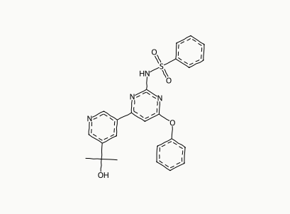 CC(C)(O)c1cncc(-c2cc(Oc3ccccc3)nc(NS(=O)(=O)c3ccccc3)n2)c1